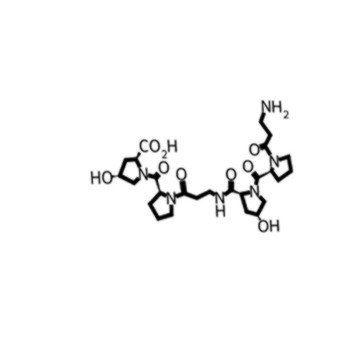 NCCC(=O)N1CCC[C@H]1C(=O)N1C[C@H](O)C[C@H]1C(=O)NCCC(=O)N1CCC[C@H]1C(=O)N1C[C@H](O)C[C@H]1C(=O)O